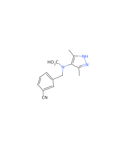 Cc1n[nH]c(C)c1N(Cc1cccc(C#N)c1)C(=O)O